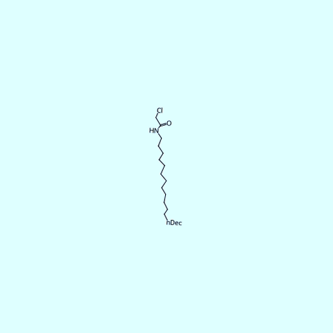 CCCCCCCCCCCCCCCCCCCCCCNC(=O)CCl